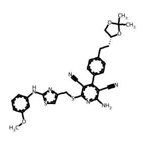 COc1cccc(Nc2nc(CSc3nc(N)c(C#N)c(-c4ccc(CC[C@@H]5COC(C)(C)O5)cc4)c3C#N)cs2)c1